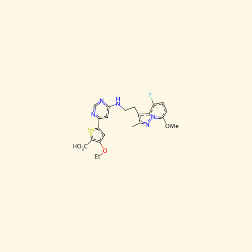 CCOc1cc(-c2cc(NCCc3c(C)nn4c(OC)ccc(F)c34)ncn2)sc1C(=O)O